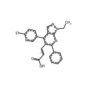 CCn1ncc2c(-c3ccc(Cl)nc3)c(/C=C/C(=O)O)c(-c3ccccc3)nc21